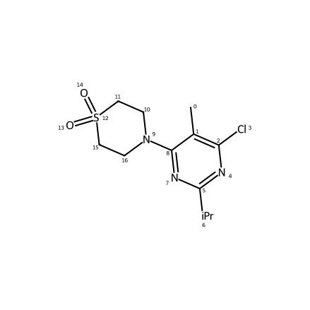 Cc1c(Cl)nc(C(C)C)nc1N1CCS(=O)(=O)CC1